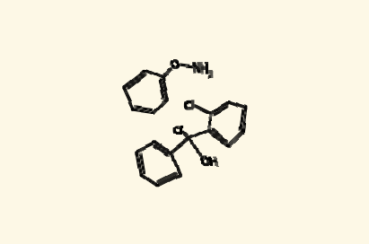 NOc1ccccc1.OC(Cl)(c1ccccc1)c1ccccc1Cl